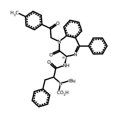 Cc1ccc(C(=O)CN2C(=O)[C@H](NC(=O)C(Cc3ccccc3)N(C(=O)O)C(C)(C)C)N=C(c3ccccc3)c3ccccc32)cc1